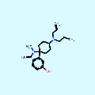 C=CCN(CCC)C1CCC(c2cccc(O)c2)(N(C)CC)CC1